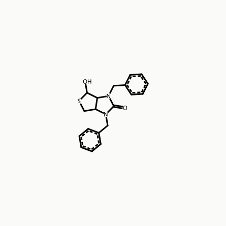 O=C1N(Cc2ccccc2)C2CSC(O)C2N1Cc1ccccc1